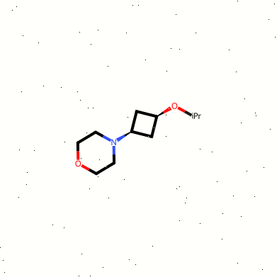 CC(C)O[C@H]1C[C@@H](N2CCOCC2)C1